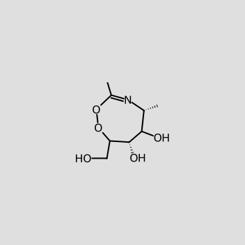 C/C1=N/[C@H](C)C(O)[C@H](O)C(CO)OO1